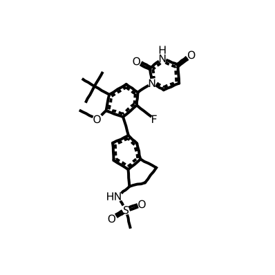 COc1c(C(C)(C)C)cc(-n2ccc(=O)[nH]c2=O)c(F)c1-c1ccc2c(c1)CCC2NS(C)(=O)=O